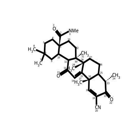 CNC(=O)[C@]12CCC(C)(C)CC1C1C(=O)C=C3[C@@]4(C)C=C(C#N)C(=O)[C@@H](C)C4CC[C@@]3(C)[C@]1(C)CC2